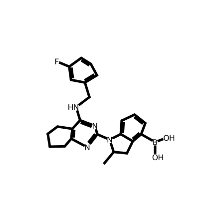 CC1Cc2c(B(O)O)cccc2N1c1nc2c(c(NCc3cccc(F)c3)n1)CCCC2